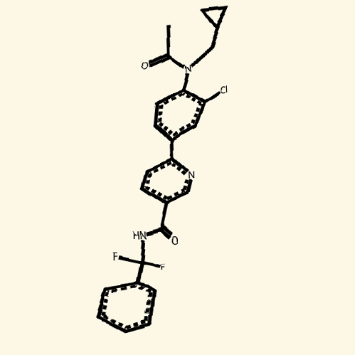 CC(=O)N(CC1CC1)c1ccc(-c2ccc(C(=O)NC(F)(F)c3ccccc3)cn2)cc1Cl